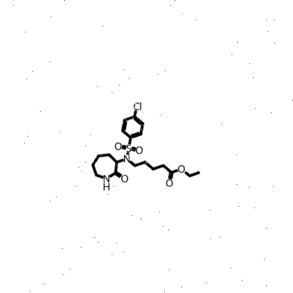 CCOC(=O)CCCCN(C1CCCCNC1=O)S(=O)(=O)c1ccc(Cl)cc1